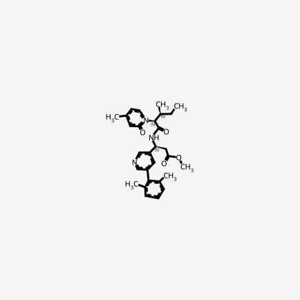 CC[C@H](C)[C@@H](C(=O)N[C@@H](CC(=O)OC)c1cncc(-c2c(C)cccc2C)c1)n1ccc(C)cc1=O